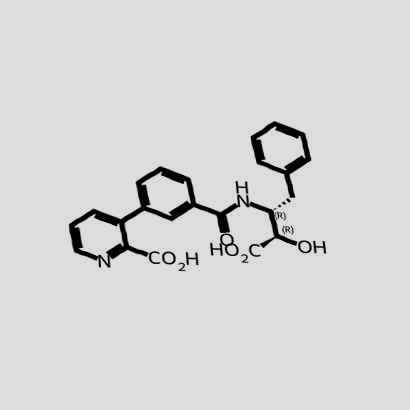 O=C(N[C@H](Cc1ccccc1)[C@@H](O)C(=O)O)c1cccc(-c2cccnc2C(=O)O)c1